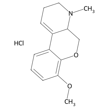 COc1cccc2c1OCC1C2=CCCN1C.Cl